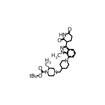 C[C@H]1CN(CC2CCN(c3cccc4c(C5CCC(=O)NC5=O)nn(C)c34)CC2)CCN1C(=O)OC(C)(C)C